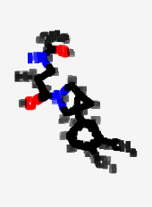 CC[C@H](CNC(=O)OC)C(=O)N1CC2CC2(c2ccc(C(F)(F)F)c(C)c2)C1